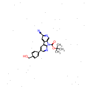 CC(C)(C)OC(=O)n1c2cnc(C#N)cc2c2cc(-c3ccc(CO)cc3)cnc21